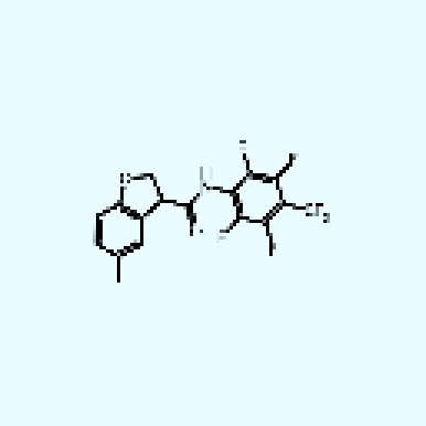 Cc1ccc2c(c1)C(C(=O)Nc1c(F)c(F)c(C(F)(F)F)c(F)c1F)CO2